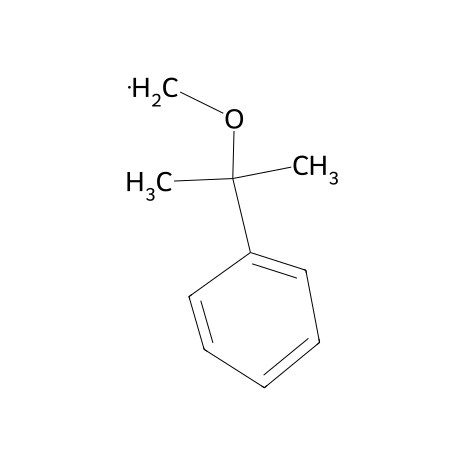 [CH2]OC(C)(C)c1ccccc1